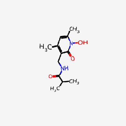 Cc1cc(C)n(O)c(=O)c1CNC(=O)C(C)C